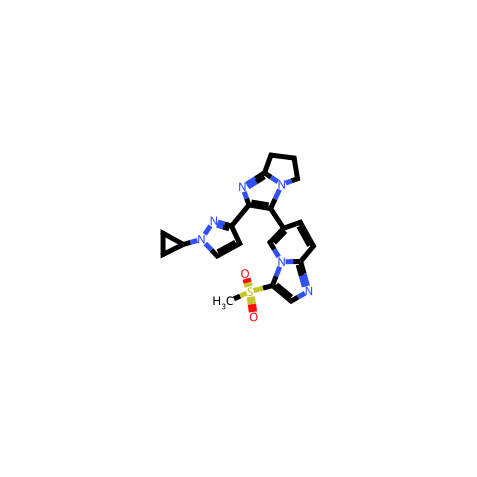 CS(=O)(=O)c1cnc2ccc(-c3c(-c4ccn(C5CC5)n4)nc4n3CCC4)cn12